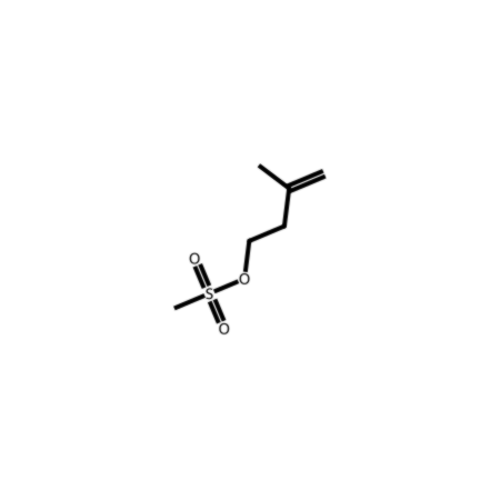 C=C(C)CCOS(C)(=O)=O